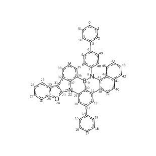 c1ccc(-c2ccc(N3B4c5c(cc(-c6ccccc6)cc5-n5c6oc7ccccc7c6c6cccc4c65)-c4ccc5ccccc5c43)cc2)cc1